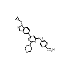 O=C(O)c1ccc(Nc2cc(-c3ccc4c(cnn4CC4CC4)c3)nc(N3CCOCC3)n2)cn1